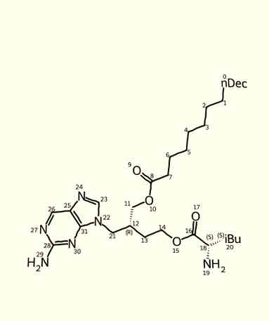 CCCCCCCCCCCCCCCCCC(=O)OC[C@H](CCOC(=O)[C@@H](N)[C@@H](C)CC)Cn1cnc2cnc(N)nc21